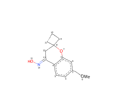 COc1ccc2c(c1)OC1(CCC1)CC2=NO